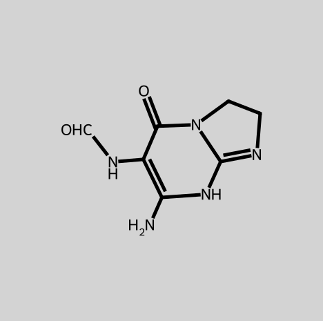 NC1=C(NC=O)C(=O)N2CCN=C2N1